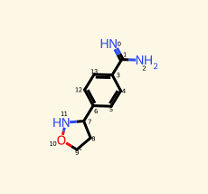 N=C(N)c1ccc(C2C[CH]ON2)cc1